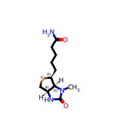 CN1C(=O)N[C@H]2CS[C@@H](CCCCC(N)=O)[C@H]21